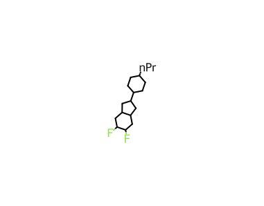 CCCC1CCC(C2CC3CC(F)C(F)CC3C2)CC1